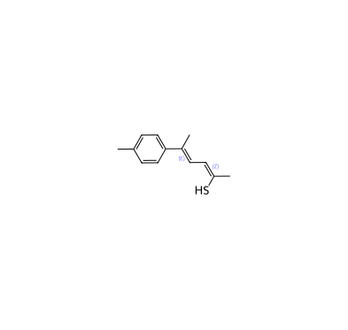 C/C(S)=C/C=C(\C)c1ccc(C)cc1